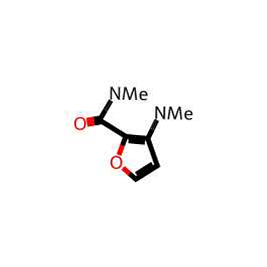 CNC(=O)c1occc1NC